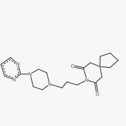 O=C1CC2(CCCC2)CC(=O)N1CCCN1CCN(c2ncccn2)CC1